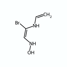 C=CN/C(Br)=C\NO